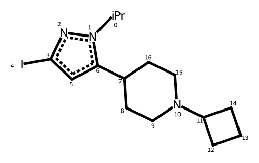 CC(C)n1nc(I)cc1C1CCN(C2CCC2)CC1